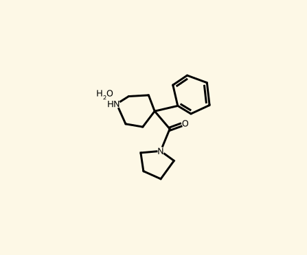 O.O=C(N1CCCC1)C1(c2ccccc2)CCNCC1